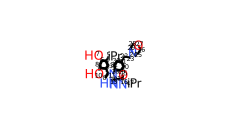 C=C(c1cc(C(C)C)c(O)cc1O)N(C(=N)C(=O)NC(C)C)c1ccc(CCN2CCOCC2)cc1